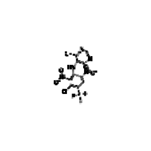 O=[N+]([O-])c1cc(C(F)(F)F)c(Cl)c([N+](=O)[O-])c1Nc1c(Cl)ncnc1Cl